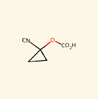 [C-]#[N+]C1(OC(=O)O)CC1